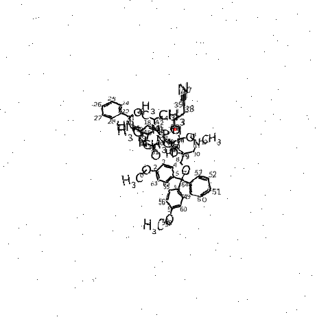 COc1ccc(C(OC[C@@]23CN(C)O[C@@H]([C@H](n4ccc(NC(=O)c5ccccc5)nc4=O)O2)[C@@H]3OP(OCCC#N)N(C(C)C)C(C)C)(c2ccccc2)c2ccc(OC)cc2)cc1